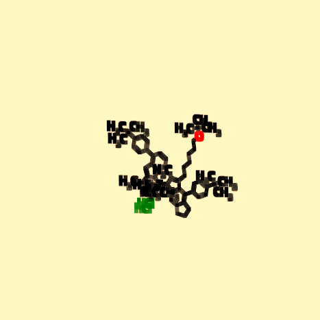 CC1=C(CCCCCCOC(C)(C)C)c2c(cc3c(c2-c2ccc(C(C)(C)C)cc2)CCC3)[CH]1[Zr]([CH3])([CH3])(=[SiH2])[CH]1C(C(C)C)=Cc2c(-c3ccc(C(C)(C)C)cc3)cccc21.Cl.Cl